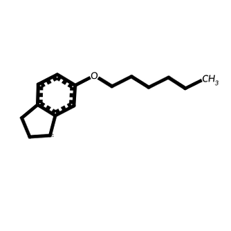 CCCCCCOc1ccc2c(c1)[C]CC2